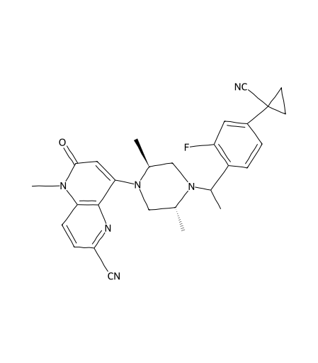 CC(c1ccc(C2(C#N)CC2)cc1F)N1C[C@H](C)N(c2cc(=O)n(C)c3ccc(C#N)nc23)C[C@H]1C